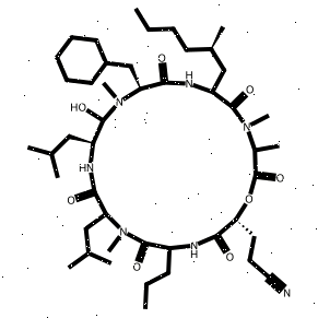 CCCC[C@@H](C)CC1NC(=O)[C@H](CC2CCCCC2)N(C)C(O)[C@H](CC(C)C)NC(=O)C(CC(C)C)N(C)C(=O)C(CCC)NC(=O)[C@@H](CCC#N)OC(=O)C(C)N(C)C1=O